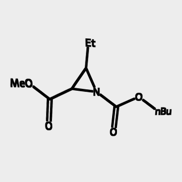 CCCCOC(=O)N1C(CC)C1C(=O)OC